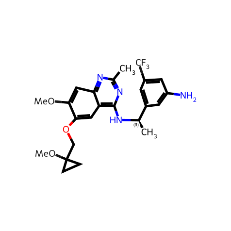 COc1cc2nc(C)nc(N[C@H](C)c3cc(N)cc(C(F)(F)F)c3)c2cc1OCC1(OC)CC1